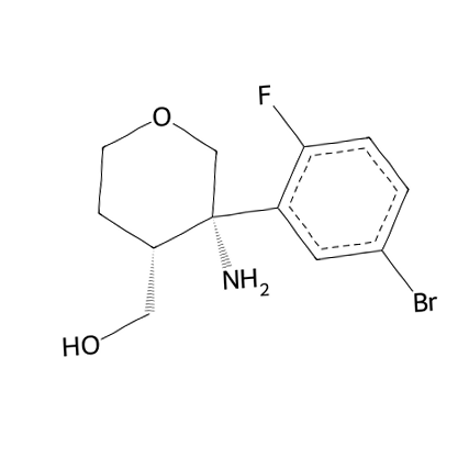 N[C@@]1(c2cc(Br)ccc2F)COCC[C@H]1CO